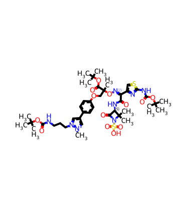 C[n+]1cc(-c2ccc(OCC(C)(O/N=C(\C(=O)N[C@@H]3C(=O)N(S(=O)(=O)O)C3(C)C)c3csc(NC(=O)OC(C)(C)C)n3)C(=O)OC(C)(C)C)cc2)cn1CCCNC(=O)OC(C)(C)C